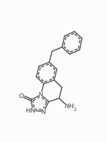 NC1Cc2cc(Cc3ccccc3)ccc2-n2c1n[nH]c2=O